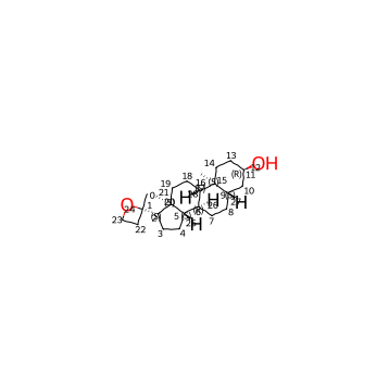 CC1([C@H]2CC[C@H]3[C@@H]4CC[C@H]5C[C@H](O)CC[C@]5(C)[C@H]4CC[C@]23C)CCO1